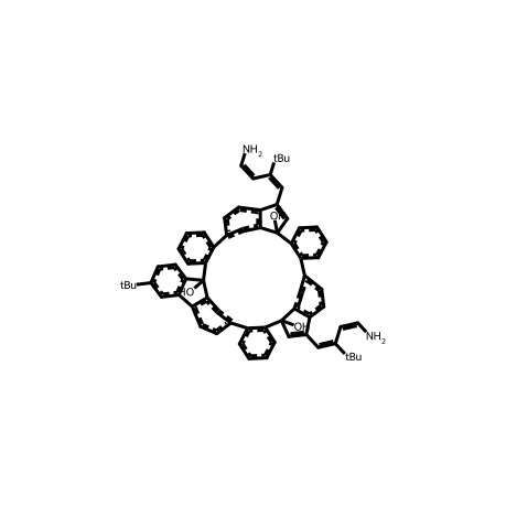 CC(C)(C)C(/C=C\N)=C/C1=CC2(O)c3cc(ccc31)-c1ccccc1C1(O)C=C(/C=C(\C=C/N)C(C)(C)C)c3ccc(cc31)-c1ccccc1C1(O)c3ccc(C(C)(C)C)cc3-c3ccc(cc31)-c1ccccc12